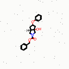 O=C(OCc1ccccc1)N1C[C@@H]2C[C@@H](Oc3ccccc3)C[C@]2(O)C1